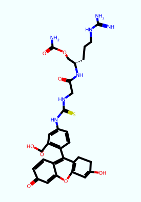 N=C(N)NCCC[C@@H](COC(N)=O)NC(=O)CNC(=S)Nc1ccc(-c2c3ccc(=O)cc-3oc3c2CCC(O)=C3)c(C(=O)O)c1